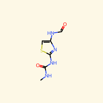 CNC(=O)Nc1nc(NC=O)cs1